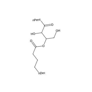 CCCCCCCCCCCCCC(=O)OC(CO)C(O)C(=O)CCCCC